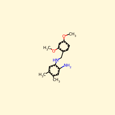 COc1ccc(CNc2cc(C)c(C)cc2N)c(OC)c1